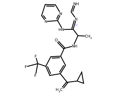 C=C(c1cc(C(=O)NC(C)/C(=N/C=N)Nc2ncccn2)cc(C(F)(F)F)c1)C1CC1